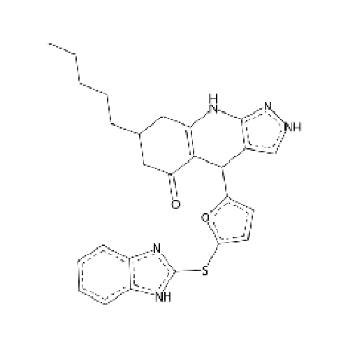 CCCCCC1CC(=O)C2=C(C1)Nc1n[nH]cc1C2c1ccc(Sc2nc3ccccc3[nH]2)o1